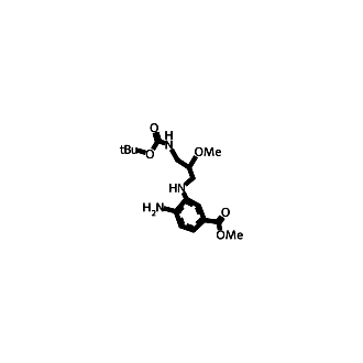 COC(=O)c1ccc(N)c(NCC(CNC(=O)OC(C)(C)C)OC)c1